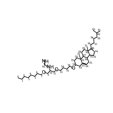 CCCCCCCCOCC(COCCCCOC1CCC2(C)C(=CCC3C2CCC2(C)C3CC[C@@H]2CCCCC(C)C)C1)NC=N